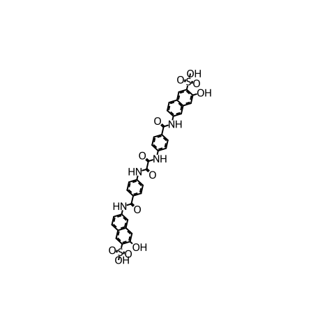 O=C(Nc1ccc(C(=O)Nc2ccc3cc(S(=O)(=O)O)c(O)cc3c2)cc1)C(=O)Nc1ccc(C(=O)Nc2ccc3cc(S(=O)(=O)O)c(O)cc3c2)cc1